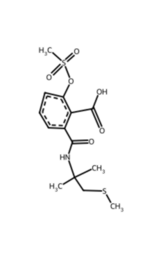 CSCC(C)(C)NC(=O)c1cccc(OS(C)(=O)=O)c1C(=O)O